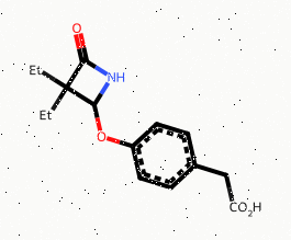 CCC1(CC)C(=O)NC1Oc1ccc(CC(=O)O)cc1